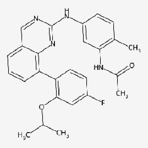 CC(=O)Nc1cc(Nc2ncc3cccc(-c4ccc(F)cc4OC(C)C)c3n2)ccc1C